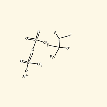 O=S(=O)([O-])C(F)(F)F.O=S(=O)([O-])C(F)(F)F.[Al+3].[O-]C(F)(C(F)F)C(F)(F)F